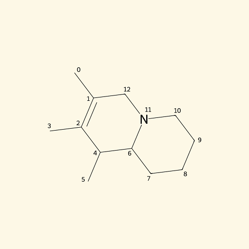 CC1=C(C)C(C)C2CCCCN2C1